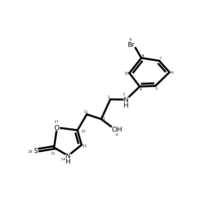 OC(CNc1cccc(Br)c1)Cc1c[nH]c(=S)o1